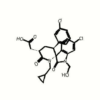 O=C(O)C[C@@H]1C[C@@H](c2cccc(Cl)c2)[C@@]2(C(=O)N(CO)c3cc(Cl)ccc32)N(CC2CC2)C1=O